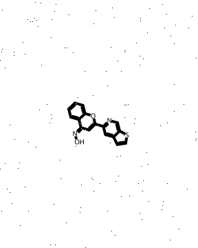 ON=c1cc(-c2cc3ccsc3cn2)oc2ccccc12